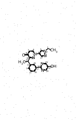 CCn1cc(-n2ccc(=O)c(C(C)c3cccc(-c4ncc(O)cn4)c3)n2)cn1